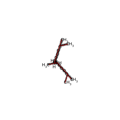 CCCCCCCCCCC(CCCCCCCC)COCCCCOCCCCOCCCCOCCCNc1nc(NCCCCCCCC)nc(NCCCOCCCCOCCCCOCCCCOCC(CCCCCCCC)CCCCCCCCCC)n1